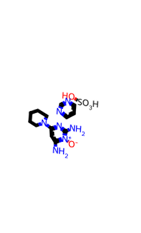 Nc1cc(N2CCCCC2)nc(N)[n+]1[O-].O=S(=O)(O)O.c1cncnc1